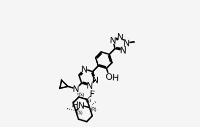 Cn1nnc(-c2ccc(-c3ncc(N(C4CC4)[C@H]4C[C@]5(C)CCC[C@@](C)(N5)[C@H]4F)nn3)c(O)c2)n1